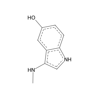 CNc1c[nH]c2ccc(O)cc12